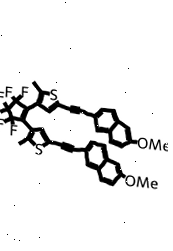 COc1ccc2cc(C#Cc3cc(C4=C(c5cc(C#Cc6ccc7cc(OC)ccc7c6)sc5C)C(F)(F)C(F)(F)C4(F)F)c(C)s3)ccc2c1